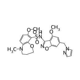 COc1ccc2c(c1S(=O)(=O)Nc1noc3cc(Cn4cccn4)cc(OC)c13)OCCCN2C